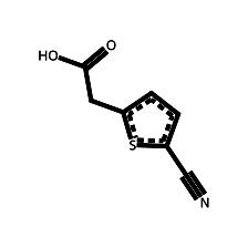 N#Cc1ccc(CC(=O)O)s1